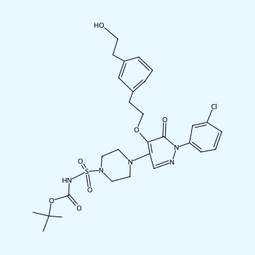 CC(C)(C)OC(=O)NS(=O)(=O)N1CCN(c2cnn(-c3cccc(Cl)c3)c(=O)c2OCCc2cccc(CCO)c2)CC1